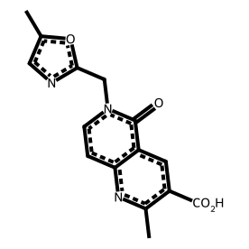 Cc1cnc(Cn2ccc3nc(C)c(C(=O)O)cc3c2=O)o1